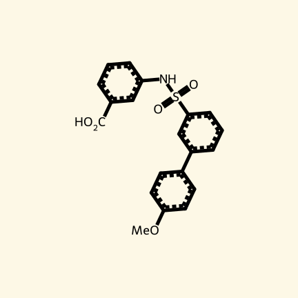 COc1ccc(-c2cccc(S(=O)(=O)Nc3cccc(C(=O)O)c3)c2)cc1